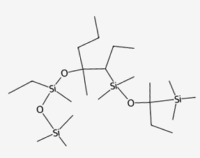 CCCC(C)(O[Si](C)(CC)O[Si](C)(C)C)C(CC)[Si](C)(C)OC(C)(CC)[Si](C)(C)C